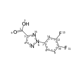 O=C(O)c1cnn(-c2ccc(F)c(F)c2)n1